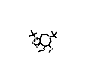 COC1CN(C(C)(C)C)CCc2c(nnn2C(C)(C)C)C1OC